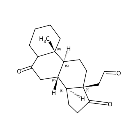 C[C@]12CCCCC1C(=O)C[C@H]1[C@@H]3CCC(=O)[C@@]3(CC=O)CC[C@@H]12